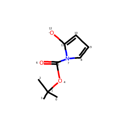 CC(C)(C)OC(=O)n1cccc1[O]